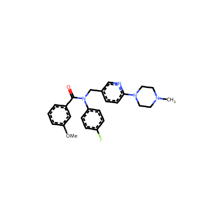 COc1cccc(C(=O)N(Cc2ccc(N3CCN(C)CC3)nc2)c2ccc(F)cc2)c1